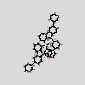 O=P(c1ccccc1)(c1cccc2c3cc(-c4cccnc4)ccc3n(-c3ccccc3)c12)c1cccc2c3cc(-c4cccnc4)ccc3n(-c3ccccc3)c12